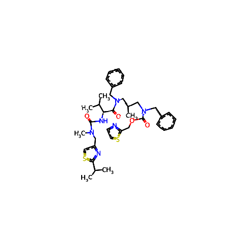 CC(CN(Cc1ccccc1)C(=O)OCc1nccs1)CN(Cc1ccccc1)C(=O)[C@@H](NC(=O)N(C)Cc1csc(C(C)C)n1)C(C)C